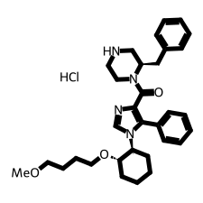 COCCCCO[C@H]1CCCC[C@@H]1n1cnc(C(=O)N2CCNC[C@H]2Cc2ccccc2)c1-c1ccccc1.Cl